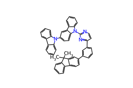 CC1(C)c2ccccc2-c2ccc(-c3cccc(-c4ccnc(-n5c6ccccc6c6cc(-n7c8ccccc8c8ccccc87)ccc65)n4)c3)cc21